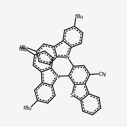 CC(C)(C)c1ccc2c(c1)c1cc(C(C)(C)C)ccc1n2-c1cc(C#N)c2c(sc3ccccc32)c1-n1c2ccc(C(C)(C)C)cc2c2cc(C(C)(C)C)ccc21